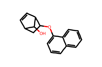 OC1C2C=CC1C(Oc1cccc3ccccc13)C2